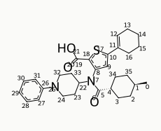 C[C@H]1CC[C@H](C(=O)N(c2cc(C3=CCCCC3)sc2C(=O)O)C2CCN(c3ccccc3)CC2)CC1